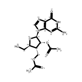 CC(=O)OC[C@H]1[C@@H](OC(C)=O)[C@H](n2cnc3c(=O)[nH]c(N)nc32)O[C@@H]1CO